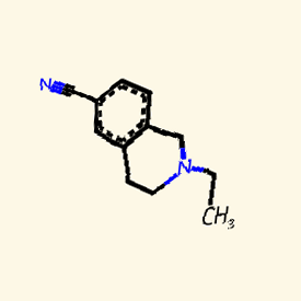 CCN1CCc2cc(C#N)ccc2C1